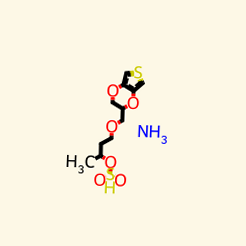 CC(CCOCC1COc2cscc2O1)O[SH](=O)=O.N